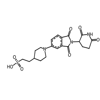 O=C1CCC(N2C(=O)c3ccc(N4CCC(CCS(=O)(=O)O)CC4)cc3C2=O)C(=O)N1